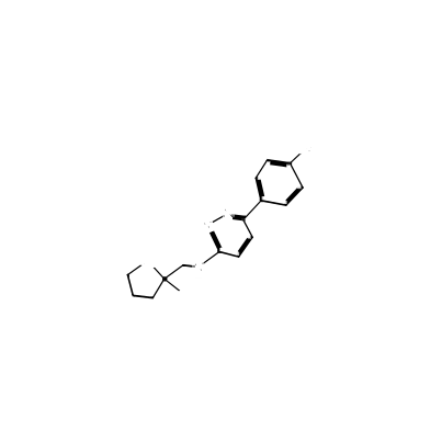 CC1(CNc2ccc(-c3ccc(Br)cc3)nn2)CCCO1